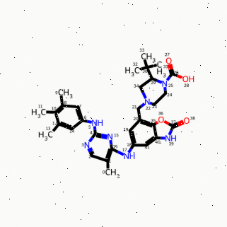 Cc1cnc(Nc2cc(C)c(C)c(C)c2)nc1Nc1cc(CN2CCN(C(=O)O)C(C(C)(C)C)C2)c2oc(=O)[nH]c2c1